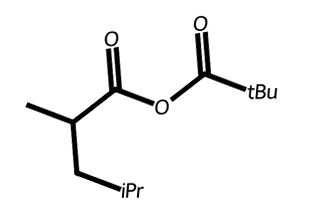 CC(C)CC(C)C(=O)OC(=O)C(C)(C)C